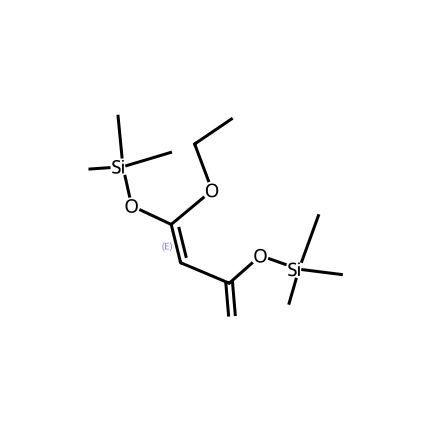 C=C(/C=C(\OCC)O[Si](C)(C)C)O[Si](C)(C)C